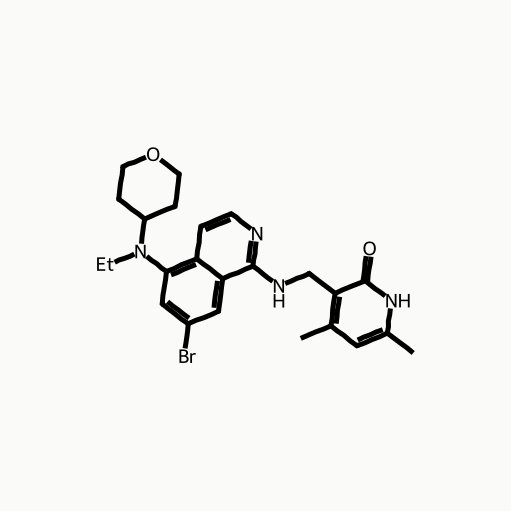 CCN(c1cc(Br)cc2c(NCc3c(C)cc(C)[nH]c3=O)nccc12)C1CCOCC1